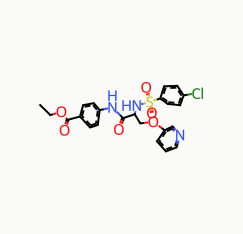 CCOC(=O)c1ccc(NC(=O)C(COc2cccnc2)NS(=O)(=O)c2ccc(Cl)cc2)cc1